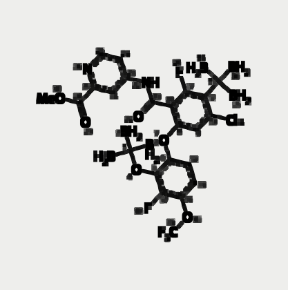 BC(B)(B)Oc1c(Oc2cc(Cl)c(C(B)(B)B)c(F)c2C(=O)Nc2ccnc(C(=O)OC)c2)ccc(OC(F)(F)F)c1F